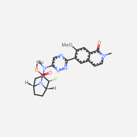 COc1cc2c(=O)n(C)ccc2cc1-c1ncc(N(C)[C@@H]2C[C@H]3CC[C@@H]([C@@H]2F)N3C(=O)OC(C)(C)C)nn1